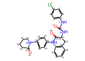 O=C(Nc1ccc(Cl)cc1)N[C@@H](Cc1ccccc1)C(=O)Nc1ccc(N2CCCCC2=O)cc1